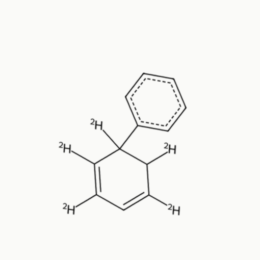 [2H]C1=CC([2H])=C([2H])C([2H])(c2ccccc2)C1[2H]